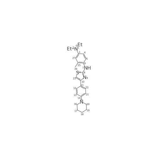 CCN(CC)c1ccc(Nc2nc(-c3ccc(N4CCCCC4)cc3)cs2)c(C)c1